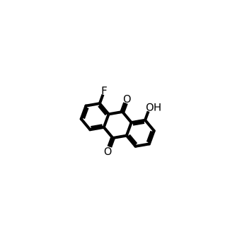 O=C1c2cccc(O)c2C(=O)c2c(F)cccc21